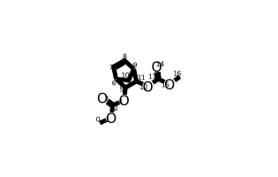 COC(=O)OC1C2C=CC(C2)C1OC(=O)OC